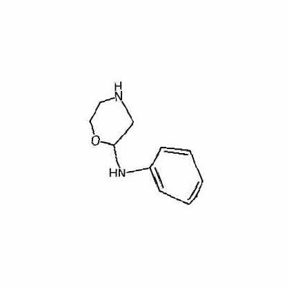 c1ccc(NC2CNCCO2)cc1